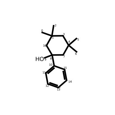 CC1(C)CC(C)(C)CC(O)(c2cc[c]cc2)C1